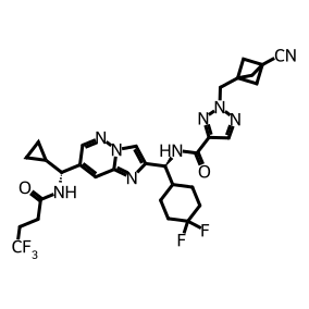 N#CC12CC(Cn3ncc(C(=O)N[C@H](c4cn5ncc([C@H](NC(=O)CCC(F)(F)F)C6CC6)cc5n4)C4CCC(F)(F)CC4)n3)(C1)C2